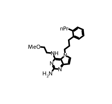 CCCc1ccccc1CCCn1ccc2nc(N)nc(NCCOC)c21